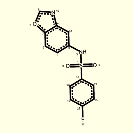 O=S(=O)(Nc1ccc2ocnc2c1)c1ccc(F)cc1